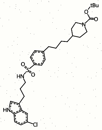 CC(C)(C)OC(=O)N1CCC(CCCCc2ccc(S(=O)(=O)NCCCc3c[nH]c4ccc(Cl)cc34)cc2)CC1